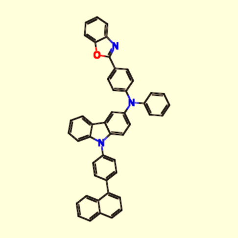 c1ccc(N(c2ccc(-c3nc4ccccc4o3)cc2)c2ccc3c(c2)c2ccccc2n3-c2ccc(-c3cccc4ccccc34)cc2)cc1